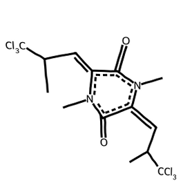 CC(/C=c1/c(=O)n(C)/c(=C/C(C)C(Cl)(Cl)Cl)c(=O)n1C)C(Cl)(Cl)Cl